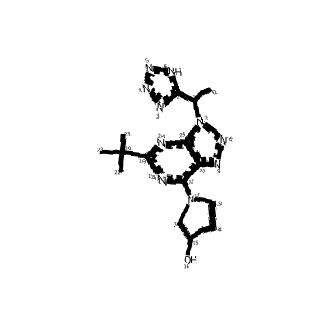 CC(c1nnn[nH]1)n1nnc2c(N3CCC(O)C3)nc(C(C)(C)C)nc21